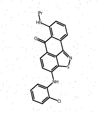 CC(C)Nc1cccc2c1C(=O)c1ccc(Nc3ccccc3Cl)c3snc-2c13